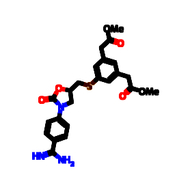 COC(=O)Cc1cc(CC(=O)OC)cc(SCC2CN(c3ccc(C(=N)N)cc3)C(=O)O2)c1